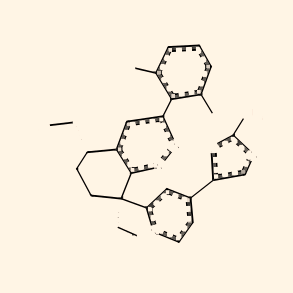 CC[C@H]1CC[C@](CC)(c2cc(-c3cnc(C)o3)ccn2)c2nnc(-c3c(F)cccc3F)cc21